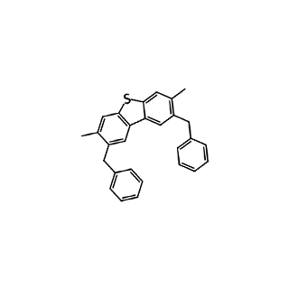 Cc1cc2sc3cc(C)c(Cc4ccccc4)cc3c2cc1Cc1ccccc1